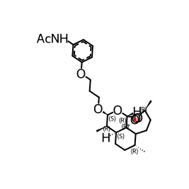 CC(=O)Nc1cccc(OCCCO[C@H]2O[C@@H]3O[C@@]4(C)CCC5[C@H](C)CC[C@@H]([C@H]2C)[C@]53OO4)c1